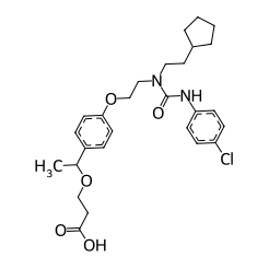 CC(OCCC(=O)O)c1ccc(OCCN(CCC2CCCC2)C(=O)Nc2ccc(Cl)cc2)cc1